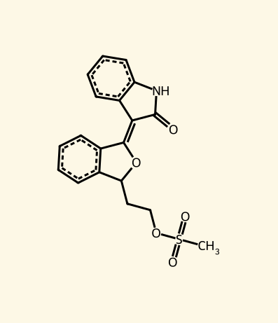 CS(=O)(=O)OCCC1O/C(=C2\C(=O)Nc3ccccc32)c2ccccc21